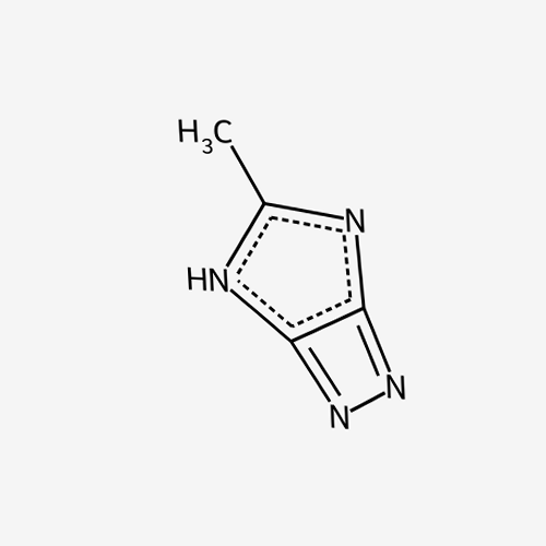 Cc1nc2c([nH]1)=NN=2